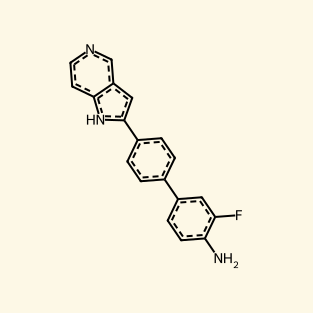 Nc1ccc(-c2ccc(-c3cc4cnccc4[nH]3)cc2)cc1F